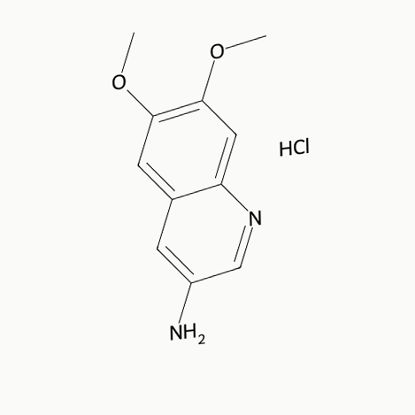 COc1cc2cc(N)cnc2cc1OC.Cl